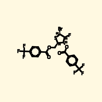 O=C(OC[C@H]1S[C@H](Br)[C@@H](F)[C@@H]1OC(=O)c1ccc(C(F)(F)F)cc1)c1ccc(C(F)(F)F)cc1